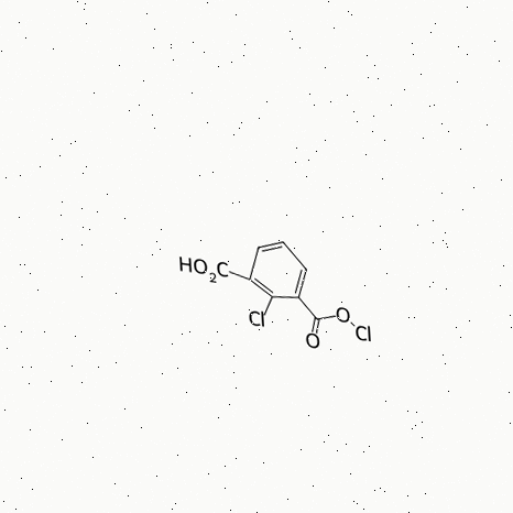 O=C(O)c1cccc(C(=O)OCl)c1Cl